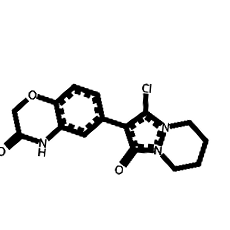 O=C1COc2ccc(-c3c(Cl)n4n(c3=O)CCCC4)cc2N1